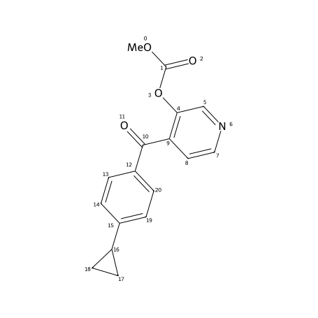 COC(=O)Oc1cnccc1C(=O)c1ccc(C2CC2)cc1